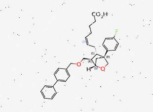 O=C(O)CCC/C=C\C[C@H]1[C@H](COCc2ccc(-c3ccccc3)cc2)[C@@H]2C[C@@]1(c1ccc(F)cc1)CO2